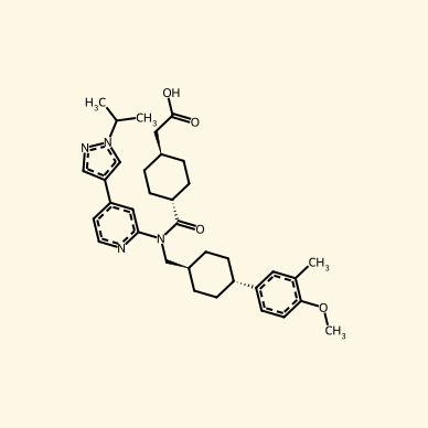 COc1ccc([C@H]2CC[C@H](CN(c3cc(-c4cnn(C(C)C)c4)ccn3)C(=O)[C@H]3CC[C@H](CC(=O)O)CC3)CC2)cc1C